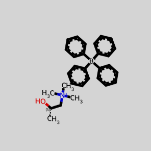 C[C@H](O)C[N+](C)(C)C.c1ccc([B-](c2ccccc2)(c2ccccc2)c2ccccc2)cc1